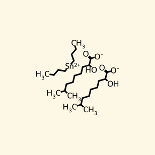 CC(C)CCCCCC(O)C(=O)[O-].CC(C)CCCCCC(O)C(=O)[O-].CCC[CH2][Sn+2][CH2]CCC